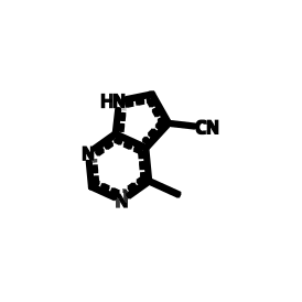 Cc1ncnc2[nH]cc(C#N)c12